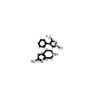 CCn1cc(-c2ccccc2[C@@H]2CNCc3sc(C#N)cc32)c(C(F)(F)F)n1